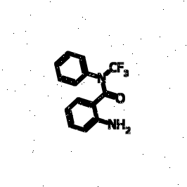 Nc1ccccc1C(=O)N(c1ccccc1)C(F)(F)F